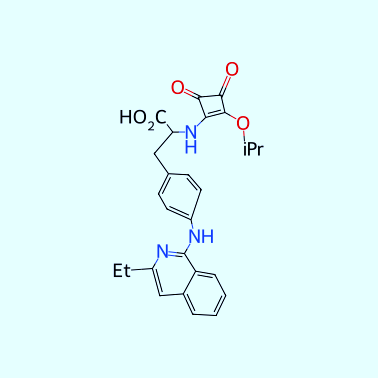 CCc1cc2ccccc2c(Nc2ccc(CC(Nc3c(OC(C)C)c(=O)c3=O)C(=O)O)cc2)n1